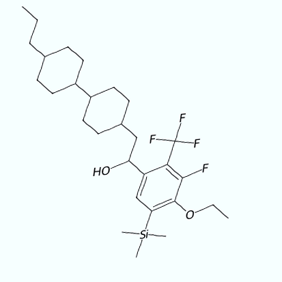 CCCC1CCC(C2CCC(CC(O)c3cc([Si](C)(C)C)c(OCC)c(F)c3C(F)(F)F)CC2)CC1